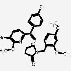 COc1ccc(CN2C(=O)CC[C@@H]2C=C(c2ccc(Cl)cc2)c2ccc(Br)c(OC)n2)c(OC)c1